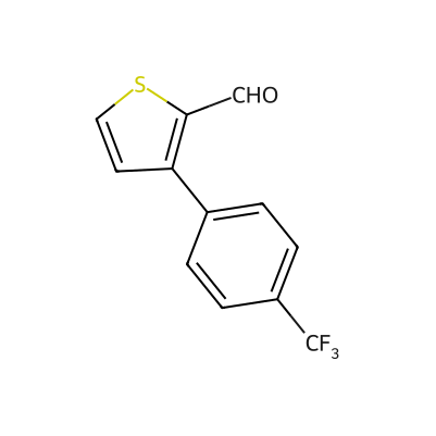 O=Cc1sccc1-c1ccc(C(F)(F)F)cc1